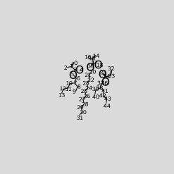 C=C(C)C(=O)OCC(CC)CCCC.C=C(C)C(=O)OCCCCCCCCCCCC.C=CC(=O)OCC(CC)CCCC